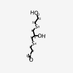 O=NCCSCC(O)CSCCO